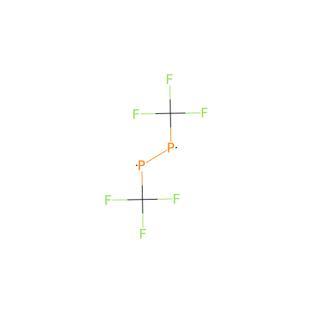 FC(F)(F)[P][P]C(F)(F)F